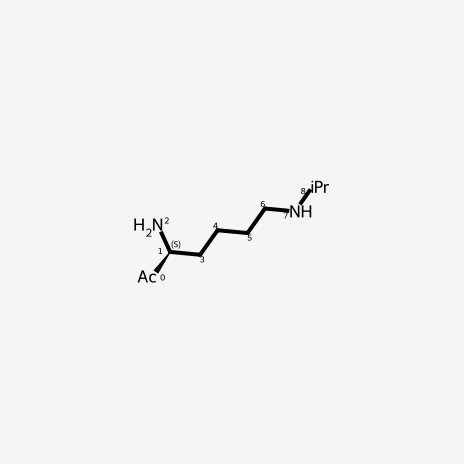 CC(=O)[C@@H](N)CCCCNC(C)C